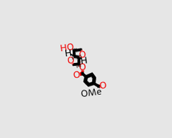 COC(=O)c1ccc(C(=O)O[C@H]2CO[C@H]3[C@@H]2OC[C@H]3O)cc1